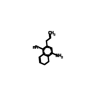 C=CCc1cc(N)c2c(c1CCC)C=CCC2